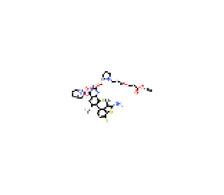 CC(C)(C)OC(=O)CCOCCCN1CCC[C@H]1COc1nc(N2CC3CCC(C2)N3C(=O)OC(C)(C)C)c2cc(C(F)(F)F)c(-c3ccc(F)c4sc(N)c(C#N)c34)c(F)c2n1